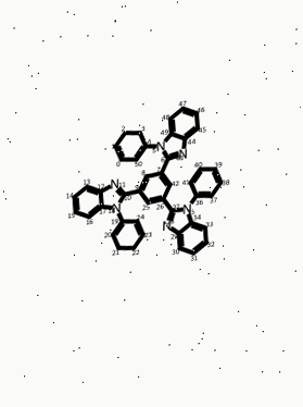 C1=CCCC(n2c(-c3cc(-c4nc5ccccc5n4C4=CCCC=C4)cc(-c4nc5ccccc5n4-c4ccccc4)c3)nc3ccccc32)=C1